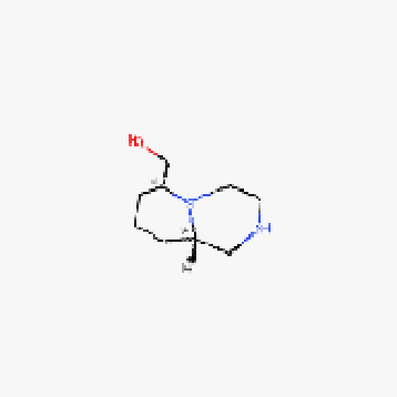 OC[C@@H]1CCC[C@H]2CNCCN12